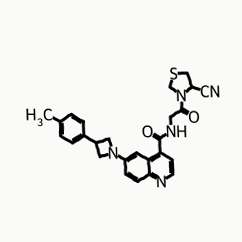 Cc1ccc(C2CN(c3ccc4nccc(C(=O)NCC(=O)N5CSCC5C#N)c4c3)C2)cc1